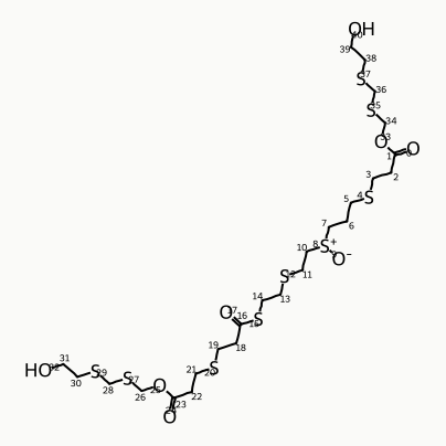 O=C(CCSCCC[S+]([O-])CCSCCSC(=O)CCSCCC(=O)OCSCSCCO)OCSCSCCO